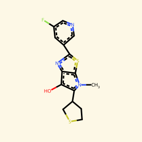 Cn1c(C2CCSC2)c(O)c2nc(-c3cncc(F)c3)sc21